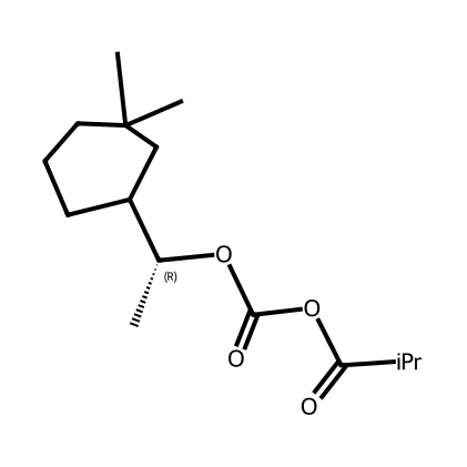 CC(C)C(=O)OC(=O)O[C@H](C)C1CCCC(C)(C)C1